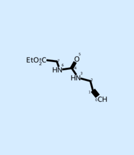 C#CCNC(=O)NCC(=O)OCC